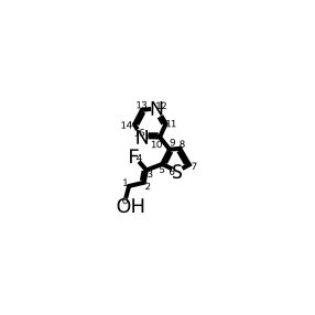 OC/C=C(\F)c1sccc1-c1cnccn1